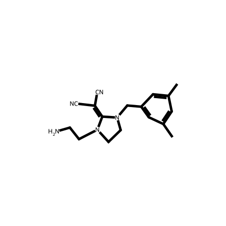 Cc1cc(C)cc(CN2CCN(CCN)C2=C(C#N)C#N)c1